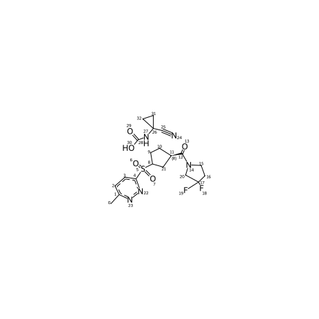 Cc1ccc(S(=O)(=O)C2CC[C@@H](C(=O)N3CCC(F)(F)C3)C2)nn1.N#CC1(NC(=O)O)CC1